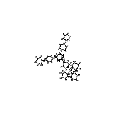 c1ccc(-c2ccc(-c3cc(-c4ccc(-c5ccccc5)cc4)nc(-c4ccc5c(c4)-c4ccccc4C54c5ccccc5-c5ccccc54)n3)cc2)cc1